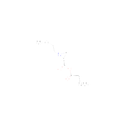 CNCC(=O)OC(=O)C1CN1CCOC